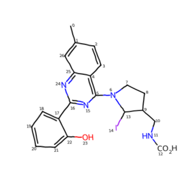 Cc1ccc2c(N3CCC(CNC(=O)O)C3I)nc(-c3ccccc3O)nc2c1